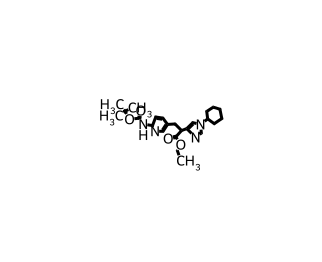 CCOC(=O)C(Cc1ccc(NC(=O)OC(C)(C)C)nc1)c1cn(C2CCCCC2)cn1